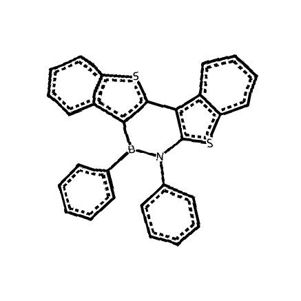 c1ccc(B2c3c(sc4ccccc34)-c3c(sc4ccccc34)N2c2ccccc2)cc1